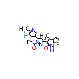 CCC(=O)N1N=C(c2c(C)c3ccsc3[nH]c2=O)CC1c1cnc(C)c(F)c1